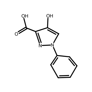 O=C(O)c1nn(-c2ccccc2)cc1O